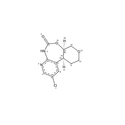 O=C1Nc2ncc(Cl)cc2[C@@H]2CCOC[C@@H]2O1